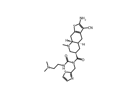 CN(C)CCNC(=O)N(Cc1nccs1)C(=O)[C@@H]1C[C@@H]2Cc3c(sc(N)c3C#N)C[C@H]2N(C)C1